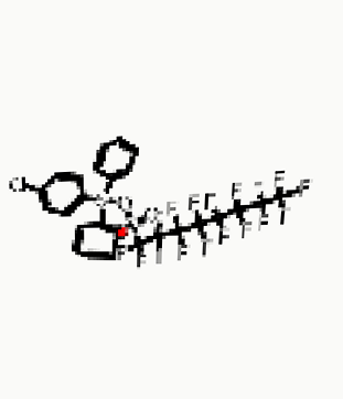 O=S(=O)(OS(c1ccccc1)(c1ccccc1)c1ccc(Cl)cc1)C(F)(F)C(F)(F)C(F)(F)C(F)(F)C(F)(F)C(F)(F)C(F)(F)C(F)(F)F